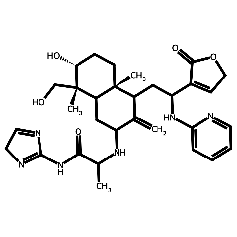 C=C1C(NC(C)C(=O)NC2=NCC=N2)CC2[C@](C)(CC[C@@H](O)[C@@]2(C)CO)C1CC(Nc1ccccn1)C1=CCOC1=O